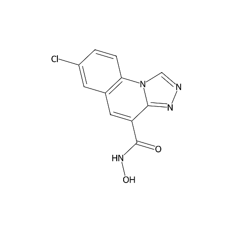 O=C(NO)c1cc2cc(Cl)ccc2n2cnnc12